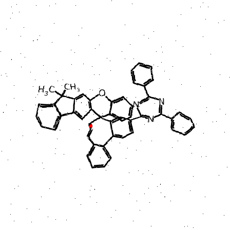 CC1(C)c2ccccc2-c2cc3c(cc21)Oc1ccccc1C31c2ccccc2-c2ccccc2-c2ccc(-c3nc(-c4ccccc4)nc(-c4ccccc4)n3)cc21